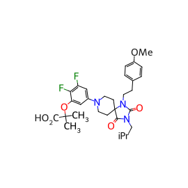 COc1ccc(CCN2C(=O)N(CC(C)C)C(=O)C23CCN(c2cc(F)c(F)c(OC(C)(C)C(=O)O)c2)CC3)cc1